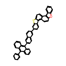 c1ccc(-c2c3ccccc3c(-c3ccc4cc(-c5ccc6c(c5)sc5ccc7c(ccc8oc9ccccc9c87)c56)ccc4c3)c3ccccc23)cc1